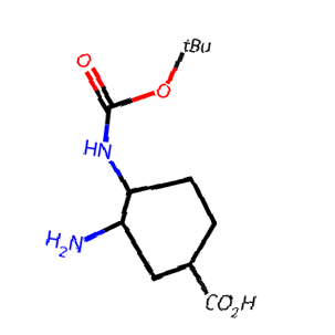 CC(C)(C)OC(=O)NC1CCC(C(=O)O)CC1N